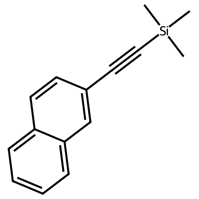 C[Si](C)(C)C#Cc1ccc2ccccc2c1